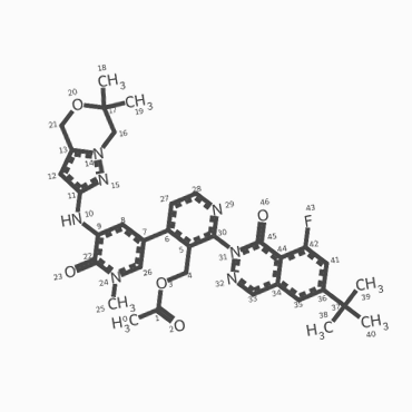 CC(=O)OCc1c(-c2cc(Nc3cc4n(n3)CC(C)(C)OC4)c(=O)n(C)c2)ccnc1-n1ncc2cc(C(C)(C)C)cc(F)c2c1=O